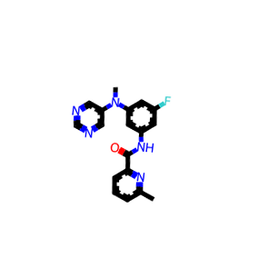 Cc1cccc(C(=O)Nc2cc(F)cc(N(C)c3cncnc3)c2)n1